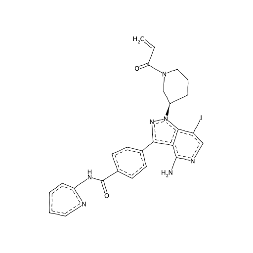 C=CC(=O)N1CCC[C@@H](n2nc(-c3ccc(C(=O)Nc4ccccn4)cc3)c3c(N)ncc(I)c32)C1